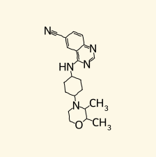 CC1OCCN(C2CCC(Nc3ncnc4ccc(C#N)cc34)CC2)C1C